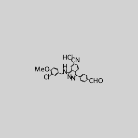 COc1ccc(CNc2nnc(-c3ccc(C=O)cc3)c3ccc(C#N)cc23)cc1Cl.Cl